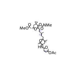 CNC(=O)O[C@@H]1[C@@H](/C=C/C(C)=C/C[C@@H]2O[C@H](C)[C@H](NC(=O)/C=C\[C@H](C)OC(C)=O)C[C@@H]2C)O[C@H](CC(=O)OC)CC12CC2